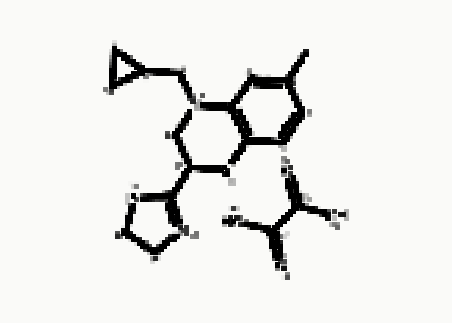 Cc1ccc2c(c1)N(CC1CC1)CC(C1=NCCN1)S2.O=C(O)C(=O)O